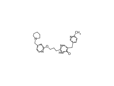 Cc1ccc(Cc2cnc(CCCOc3cc(CN4CCCCC4)ccn3)[nH]c2=O)cn1